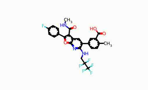 CNC(=O)c1c(-c2ccc(F)cc2)oc2nc(NCC(F)(F)C(F)(F)F)c(-c3ccc(C)c(C(=O)O)c3)cc12